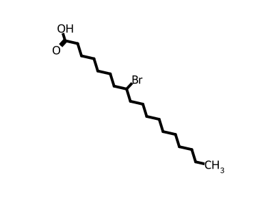 CCCCCCCCCCC(Br)CCCCCCC(=O)O